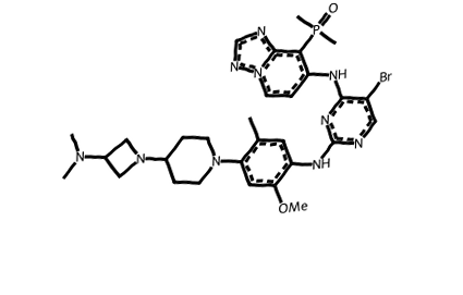 COc1cc(N2CCC(N3CC(N(C)C)C3)CC2)c(C)cc1Nc1ncc(Br)c(Nc2ccn3ncnc3c2P(C)(C)=O)n1